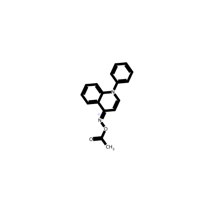 CC(=O)O/N=c1\ccn(-c2ccccc2)c2ccccc12